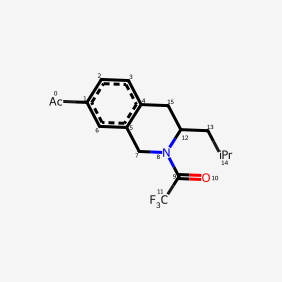 CC(=O)c1ccc2c(c1)CN(C(=O)C(F)(F)F)C(CC(C)C)C2